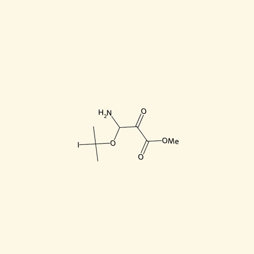 COC(=O)C(=O)C(N)OC(C)(C)I